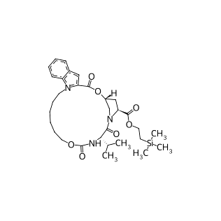 CC(C)[C@@H]1NC(=O)OCCCCCCn2c(cc3ccccc32)C(=O)O[C@@H]2C[C@@H](C(=O)OCC[Si](C)(C)C)N(C2)C1=O